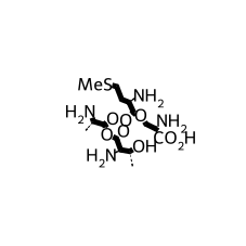 CSCC[C@H](N)C(=O)OC[C@H](N)C(=O)O.C[C@H](N)C(=O)OC(=O)[C@@H](N)[C@@H](C)O